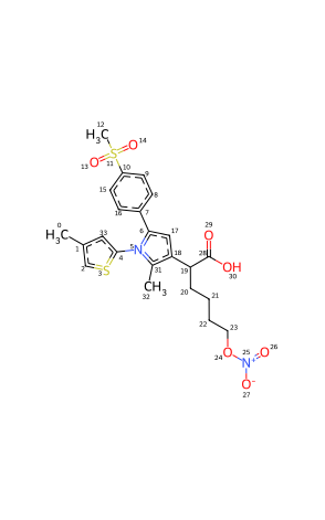 Cc1csc(-n2c(-c3ccc(S(C)(=O)=O)cc3)cc(C(CCCCO[N+](=O)[O-])C(=O)O)c2C)c1